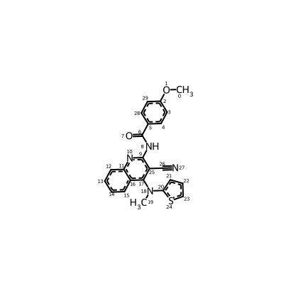 COc1ccc(C(=O)Nc2nc3ccccc3c(N(C)c3cccs3)c2C#N)cc1